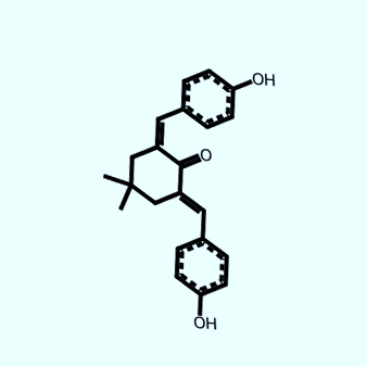 CC1(C)CC(=Cc2ccc(O)cc2)C(=O)C(=Cc2ccc(O)cc2)C1